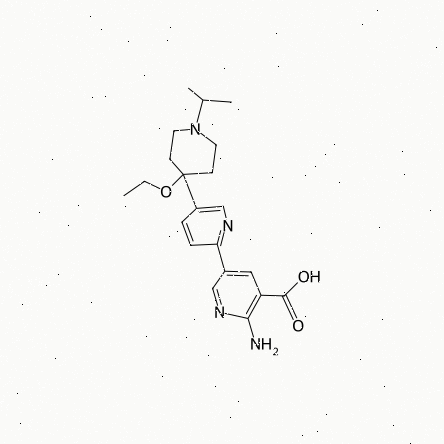 CCOC1(c2ccc(-c3cnc(N)c(C(=O)O)c3)nc2)CCN(C(C)C)CC1